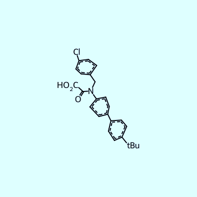 CC(C)(C)c1ccc(-c2ccc(N(Cc3ccc(Cl)cc3)C(=O)C(=O)O)cc2)cc1